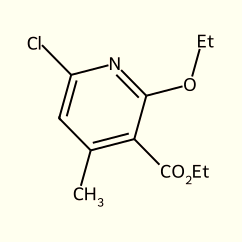 CCOC(=O)c1c(C)cc(Cl)nc1OCC